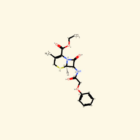 CC1=C(C(=O)OCC(Cl)(Cl)Cl)N2C(=O)C(NC(=O)COc3ccccc3)[C@H]2SC1